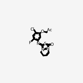 CC(=O)COc1cc(N=c2sc(=O)n3n2CCC=C3)c(F)cc1Cl